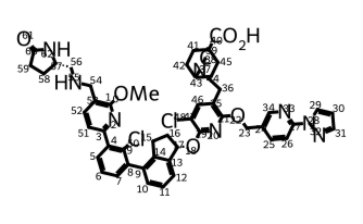 COc1nc(-c2cccc(-c3cccc4c3CC[C@@H]4Oc3nc(OCc4ccc(-n5cccn5)nc4)c(CN4CC5(C(=O)O)CCC4CC5)cc3Cl)c2Cl)ccc1CNC[C@@H]1CCC(=O)N1